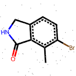 Cc1c(Br)ccc2c1C(=O)NC2